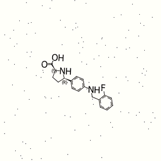 O=C(O)[C@@H]1CC[C@H](c2ccc(NCc3ccccc3F)cc2)N1